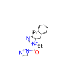 CC[N+]1(C(=O)n2ccnc2)C=NC(C(C)C)=C1Cc1ccccc1